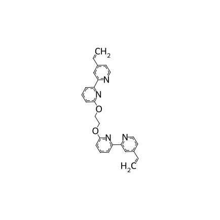 C=Cc1ccnc(-c2cccc(OCCOc3cccc(-c4cc(C=C)ccn4)n3)n2)c1